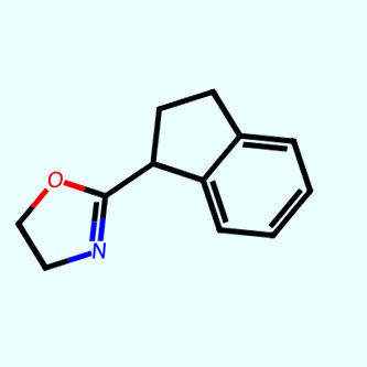 c1ccc2c(c1)CCC2C1=NCCO1